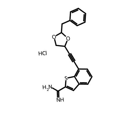 Cl.N=C(N)c1cc2cccc(C#CC3COC(Cc4ccccc4)O3)c2s1